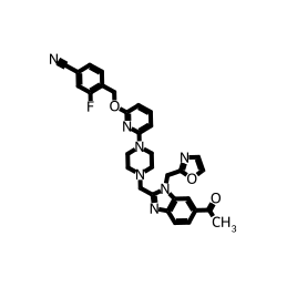 CC(=O)c1ccc2nc(CN3CCN(c4cccc(OCc5ccc(C#N)cc5F)n4)CC3)n(Cc3ncco3)c2c1